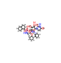 N[C@]1(COP(=O)(N[C@@H](Cc2ccccc2)C(=O)OCc2ccccc2)Oc2cccc3ccccc23)O[C@@H](n2ccc(=O)[nH]c2=O)[C@H](O)[C@@H]1O